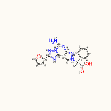 CC(C(=O)O)(c1ccccc1)n1cc2c(nc(N)n3nc(-c4ccco4)nc23)n1